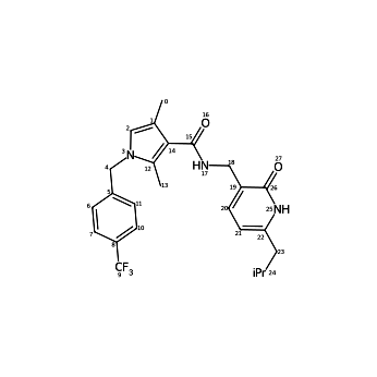 Cc1cn(Cc2ccc(C(F)(F)F)cc2)c(C)c1C(=O)NCc1ccc(CC(C)C)[nH]c1=O